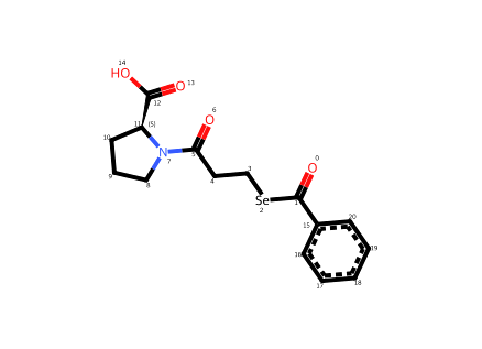 O=C([Se]CCC(=O)N1CCC[C@H]1C(=O)O)c1ccccc1